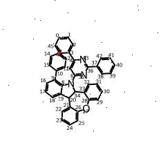 c1ccc(-c2cc(N3c4c(-c5ccccc5)cccc4C4c5ccccc5Oc5ccccc5C43)nc(-c3ccccc3)n2)cc1